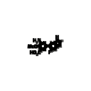 COc1c(N)nc(-c2cc3[nH]ccc3cc2F)nc1C(=O)O